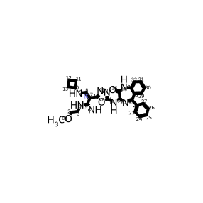 COCCNC(=N)/C(=C\NC1CCC1)c1nnc(N[C@H]2N=C(c3ccccc3)c3ccccc3NC2=O)o1